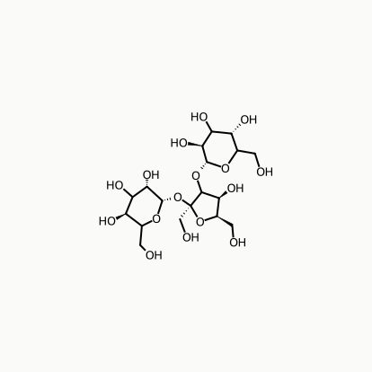 OCC1O[C@H](OC2[C@@H](O)[C@@H](CO)O[C@@]2(CO)O[C@@H]2OC(CO)[C@@H](O)C(O)[C@@H]2O)[C@@H](O)C(O)[C@@H]1O